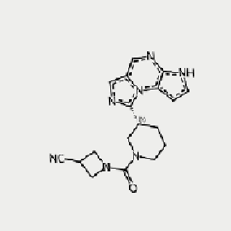 N#CC1CN(C(=O)N2CCC[C@@H](c3ncc4cnc5[nH]ccc5n34)C2)C1